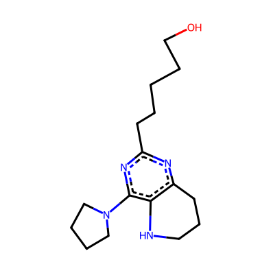 OCCCCCc1nc2c(c(N3CCCC3)n1)NCCC2